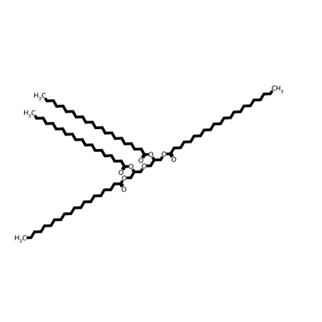 CCCCCCCCCCCCCCCCCCCCCC(=O)OCC(COCC(COC(=O)CCCCCCCCCCCCCCCCCCC)OC(=O)CCCCCCCCCCCCCCCCCCC)OC(=O)CCCCCCCCCCCCCCCCCCCCC